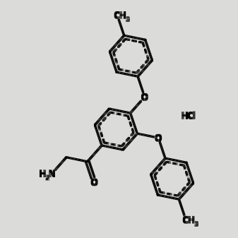 Cc1ccc(Oc2ccc(C(=O)CN)cc2Oc2ccc(C)cc2)cc1.Cl